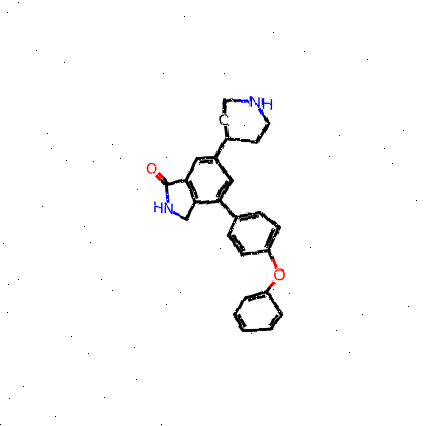 O=C1NCc2c1cc(C1CCNCC1)cc2-c1ccc(Oc2ccccc2)cc1